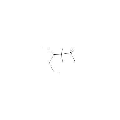 CCCCCCCCC(C)C(CC)(CC)C([O])=O